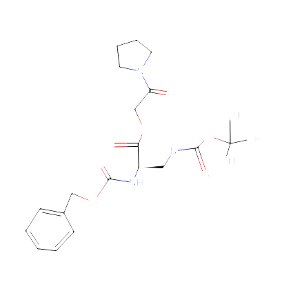 CC(C)(C)OC(=O)NC[C@@H](NC(=O)OCc1ccccc1)C(=O)OCC(=O)N1CCCC1